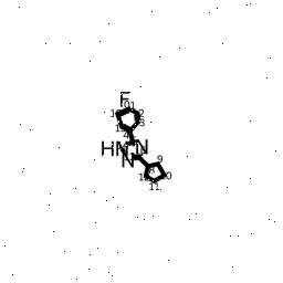 Fc1ccc(-c2nc(C3CCCC3)n[nH]2)cc1